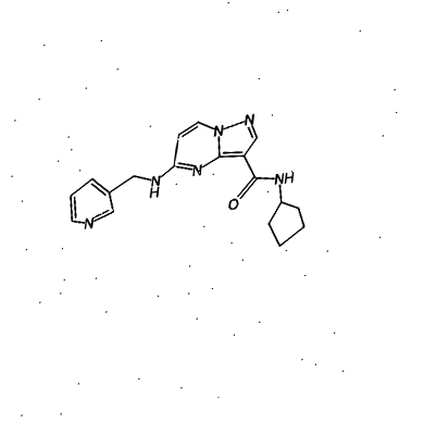 O=C(NC1CCCC1)c1cnn2ccc(NCc3cccnc3)nc12